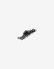 CCCCOc1ccc(-c2ccc(C3CCC(c4ccc(OCC)cc4)OC3)c(C(F)(F)F)c2F)cc1